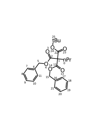 CCCC(C(=O)OCc1ccccc1)(C(=O)OCc1ccccc1)C(=O)OC(C)(C)C